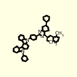 C=C/C(=C\c1ccccc1C)c1nc(-c2ccc(-n3c4ccccc4c4c5c6ccccc6n(-c6ccccc6)c5ccc43)cc2)nc2cc(-c3ccccc3)ccc12